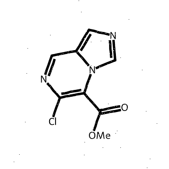 COC(=O)c1c(Cl)ncc2cncn12